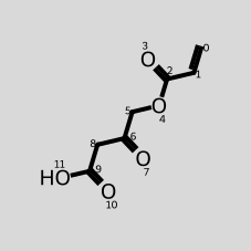 C=CC(=O)OCC(=O)CC(=O)O